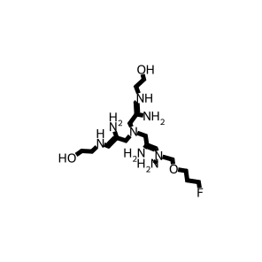 N/C(=C\NCCO)CN(C/C(N)=C/NCCO)C/C(N)=C/N(N)COCCCF